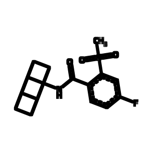 CS(=O)(=O)c1cc(F)ccc1C(=O)NC12C3C4C5C3C1C5C42